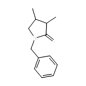 CC1CN(Cc2ccccc2)C(=O)C1C